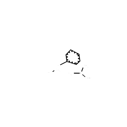 CN(C)C=O.CO.Cc1ccccc1